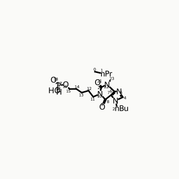 CCCC.CCCCn1cnc2c1c(=O)n(CCCCCO[PH](=O)O)c(=O)n2C